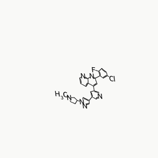 CN1CCC(n2cc(-c3cncc(-c4cc(-c5cc(Cl)ccc5F)nc5ncccc45)c3)cn2)C1